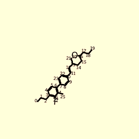 CCCc1ccc(-c2ccc(/C=C/C3CCC(CCC)OC3)cc2)c(C)c1F